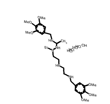 CCN(CCNCCNCc1cc(OC)c(OC)c(OC)c1)NC(C)NCc1cc(OC)c(OC)c(OC)c1.Cl.Cl.Cl.Cl.Cl